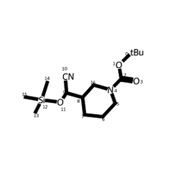 CC(C)(C)OC(=O)N1CCCC(C(C#N)O[Si](C)(C)C)C1